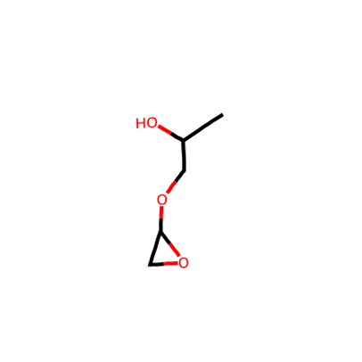 CC(O)COC1CO1